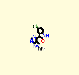 CCCn1cc2c(C3C(=O)NC4C=CC(Cl)=CC43)ncnc2n1